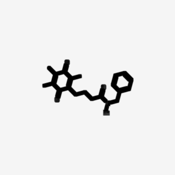 CCN(Cc1ccccc1)C(=O)CCCC1=C(C)C(=O)C(C)=C(C)C1=O